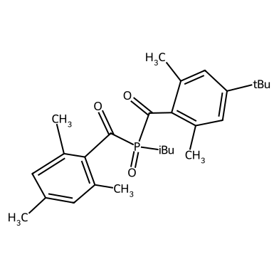 CCC(C)P(=O)(C(=O)c1c(C)cc(C)cc1C)C(=O)c1c(C)cc(C(C)(C)C)cc1C